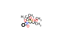 COC(=O)C(C)CC(CCN1C(=O)c2ccccc2C1=O)SC(=S)OC(C)C(C)C